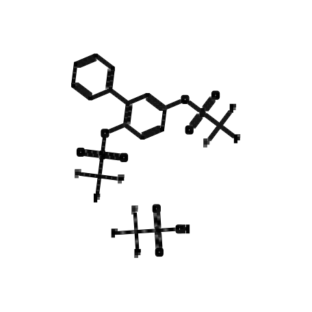 O=S(=O)(O)C(F)(F)F.O=S(=O)(Oc1ccc(OS(=O)(=O)C(F)(F)F)c(-c2ccccc2)c1)C(F)(F)F